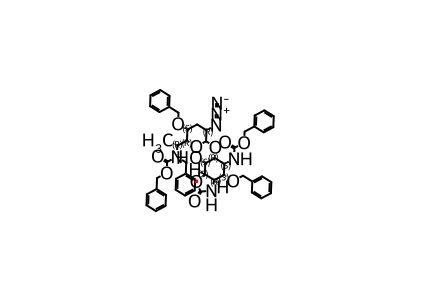 C[C@H]([C@H]1OC(O[C@H]2[C@H](O)[C@H]3OC(=O)N[C@@H]3[C@@H](OCc3ccccc3)[C@@H]2NC(=O)OCc2ccccc2)[C@H](N=[N+]=[N-])C[C@@H]1OCc1ccccc1)N(Cc1ccccc1)C(=O)OCc1ccccc1